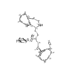 Cl.O.OC(CCC1NCCc2ccccc21)COc1ccccc1Cl